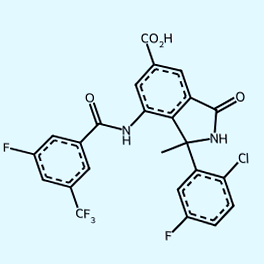 CC1(c2cc(F)ccc2Cl)NC(=O)c2cc(C(=O)O)cc(NC(=O)c3cc(F)cc(C(F)(F)F)c3)c21